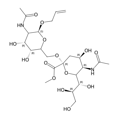 C=CCO[C@H]1OC(CO[C@]2(C(=O)OC)C[C@@H](O)[C@@H](NC(C)=O)C([C@H](O)[C@H](O)CO)O2)[C@H](O)[C@H](O)C1NC(C)=O